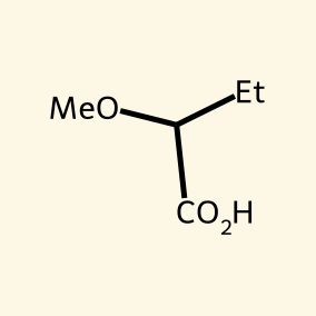 CCC(OC)C(=O)O